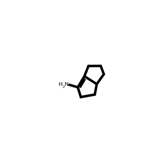 NC1=C2CCCC2CC1